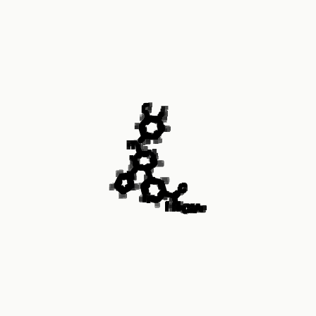 CONC(=O)c1cncc(-c2cnc(Nc3ccc(F)c(Cl)c3)nc2-n2cccc2)c1